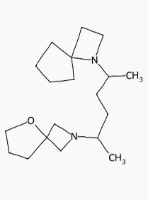 CC(CCC(C)N1CCC12CCCC2)N1CC2(CCCO2)C1